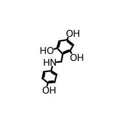 Oc1ccc(NCc2c(O)cc(O)cc2O)cc1